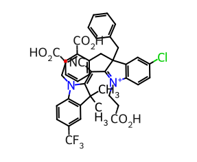 CC1(C)/C(=C(/C#N)C2=[N+](CCC(=O)O)c3ccc(Cl)cc3C2(Cc2ccccc2)Cc2ccccc2C(=O)O)N(CCC(=O)O)c2ccc(C(F)(F)F)cc21